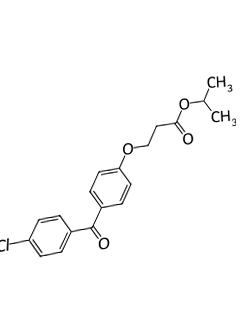 CC(C)OC(=O)CCOc1ccc(C(=O)c2ccc(Cl)cc2)cc1